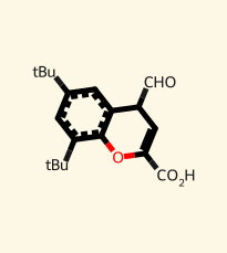 CC(C)(C)c1cc2c(c(C(C)(C)C)c1)OC(C(=O)O)=CC2C=O